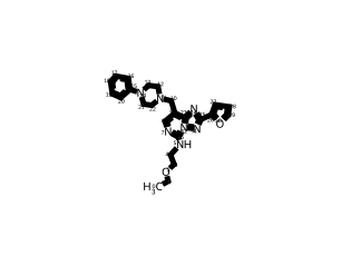 CCOCCNc1ncc(CN2CCN(c3ccccc3)CC2)c2nc(-c3ccco3)nn12